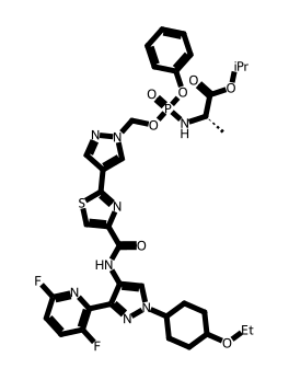 CCOC1CCC(n2cc(NC(=O)c3csc(-c4cnn(COP(=O)(N[C@@H](C)C(=O)OC(C)C)Oc5ccccc5)c4)n3)c(-c3nc(F)ccc3F)n2)CC1